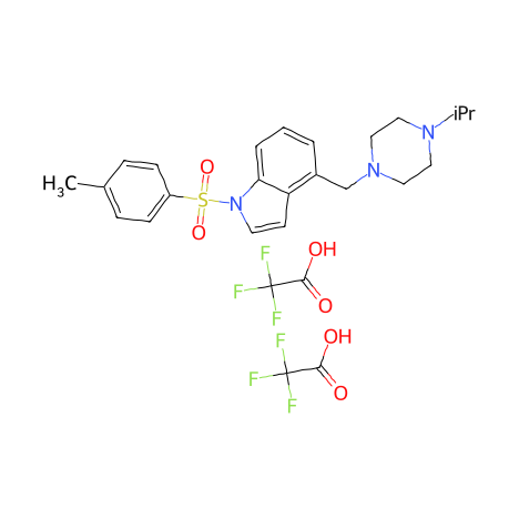 Cc1ccc(S(=O)(=O)n2ccc3c(CN4CCN(C(C)C)CC4)cccc32)cc1.O=C(O)C(F)(F)F.O=C(O)C(F)(F)F